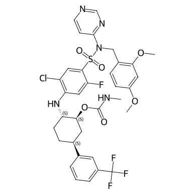 CNC(=O)O[C@H]1C[C@@H](c2cccc(C(F)(F)F)c2)CC[C@@H]1Nc1cc(F)c(S(=O)(=O)N(Cc2ccc(OC)cc2OC)c2ccncn2)cc1Cl